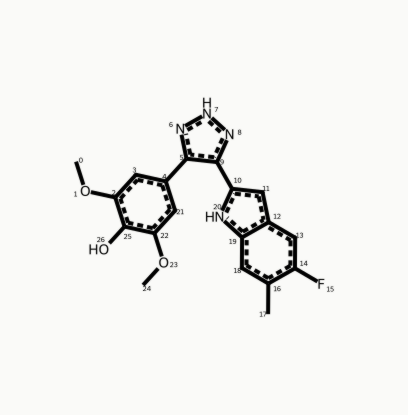 COc1cc(-c2n[nH]nc2-c2cc3cc(F)c(C)cc3[nH]2)cc(OC)c1O